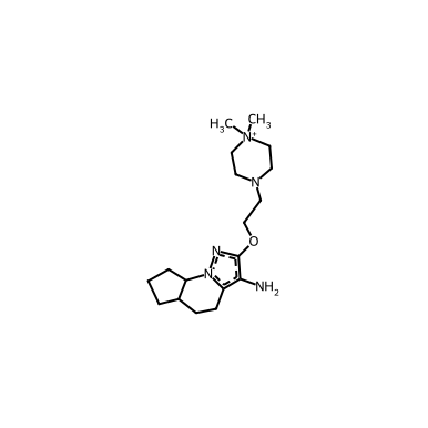 C[N+]1(C)CCN(CCOc2nn3c(c2N)CCC2CCCC23)CC1